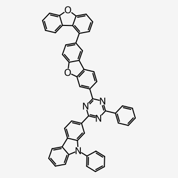 c1ccc(-c2nc(-c3ccc4c(c3)oc3ccc(-c5cccc6oc7ccccc7c56)cc34)nc(-c3ccc4c5ccccc5n(-c5ccccc5)c4c3)n2)cc1